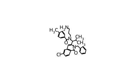 Cc1ccc(C(=O)N(CCCN)C(c2cc3cc(Cl)ccc3c(=O)n2Cc2ccccc2)C(C)C)cc1